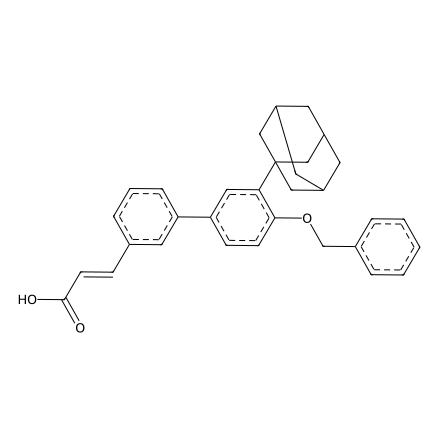 O=C(O)/C=C/c1cccc(-c2ccc(OCc3ccccc3)c(C34CC5CC(CC(C5)C3)C4)c2)c1